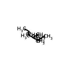 CCCCCC/C=C\COC(=O)C(C)(C)CCCCCC(CCCCCC(C)(C)C(=O)OCCCCCCCCC)OC(=O)CCCN(C)C